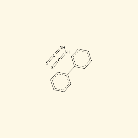 N=C=S.N=C=S.c1ccc(-c2ccccc2)cc1